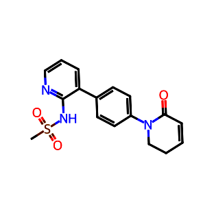 CS(=O)(=O)Nc1ncccc1-c1ccc(N2CCC=CC2=O)cc1